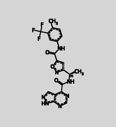 Cc1ccc(NC(=O)c2cc([C@@H](C)NC(=O)c3ncnc4[nH]ncc34)no2)cc1C(F)(F)F